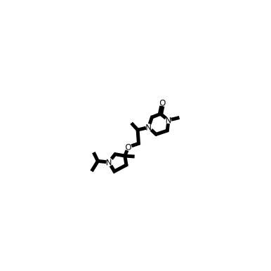 CC(C)N1CCC(C)(OCC(C)N2CCN(C)C(=O)C2)C1